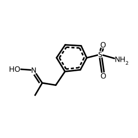 CC(Cc1cccc(S(N)(=O)=O)c1)=NO